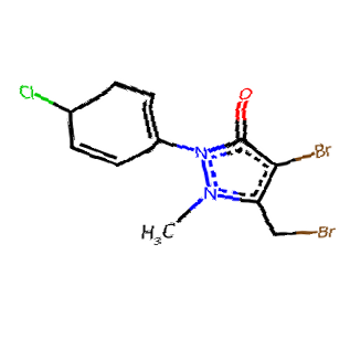 Cn1c(CBr)c(Br)c(=O)n1C1=CCC(Cl)C=C1